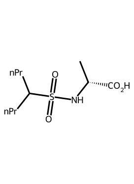 CCCC(CCC)S(=O)(=O)N[C@H](C)C(=O)O